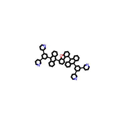 c1cncc(-c2cc(-c3cccnc3)cc(-c3c4ccccc4c(-c4cccc5c4oc4cccc(-c6c7ccccc7c(-c7cc(-c8cccnc8)cc(-c8cccnc8)c7)c7ccccc67)c45)c4ccccc34)c2)c1